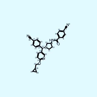 N#Cc1ccc(C(=O)NC2CCN([C@H](c3ccc(C#N)cc3)c3ccc(OCC4CC4)nc3)C2)cc1